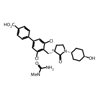 CNC(N)=O.O=C(O)c1ccc(-c2cc(Cl)c(C[C@@H]3CCN([C@H]4CC[C@H](O)CC4)C3=O)c(Cl)c2)cc1